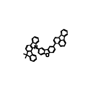 CC1(C)c2ccccc2-c2c1ccc1c3ccccc3n(-c3ccc4oc5ccc(-c6ccc7c8c(cccc68)-c6ccccc6-7)cc5c4c3)c21